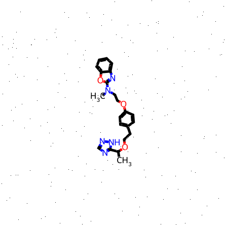 CC(OCCc1ccc(OCCN(C)c2nc3ccccc3o2)cc1)c1ncn[nH]1